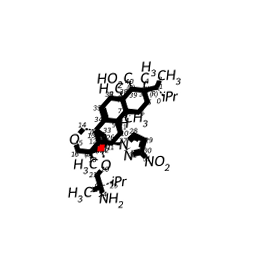 CC(C)[C@@H](C)[C@@]1(C)CC[C@]2(C)[C@H]3CC[C@@H]4[C@@]5(COC[C@@]4(C)[C@@H](OC[C@](C)(N)C(C)C)[C@H](n4ccc([N+](=O)[O-])n4)C5)C3=CC[C@@]2(C)[C@@H]1C(=O)O